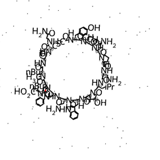 CCCC[C@H]1C(=O)N(C)[C@@H](CCCC)C(=O)N[C@@H](CC(C)C)C(=O)N[C@H](C(=O)NCC(N)=O)CSCC(=O)N[C@@H](Cc2ccc(O)cc2)C(=O)N(C)[C@@H](C)C(=O)N[C@@H](CC(N)=O)C(=O)N2CCC[C@H]2C(=O)N[C@@H](CN)C(=O)N[C@@H](CC(C)C)C(=O)N2C[C@H](O)C[C@H]2C(=O)N[C@@H](Cc2c[nH]c3ccccc23)C(=O)N[C@@H](CCN)C(=O)N[C@@H](Cn2c(=O)n(CC(=O)O)c3ccccc32)C(=O)N1C